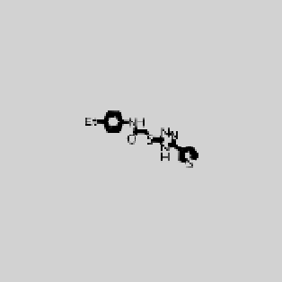 CCc1ccc(NC(=O)CSc2nnc(-c3ccsc3)[nH]2)cc1